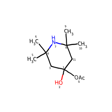 CC(=O)OC1(O)CC(C)(C)NC(C)(C)C1